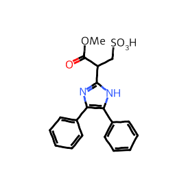 COC(=O)C(CS(=O)(=O)O)c1nc(-c2ccccc2)c(-c2ccccc2)[nH]1